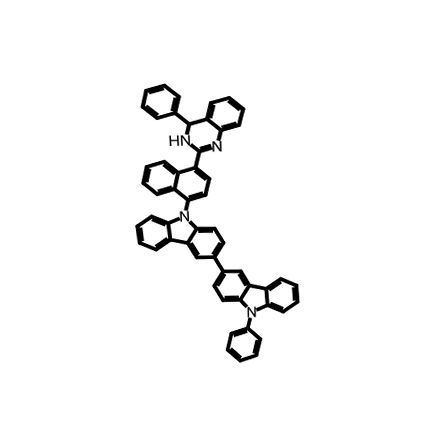 c1ccc(C2NC(c3ccc(-n4c5ccccc5c5cc(-c6ccc7c(c6)c6ccccc6n7-c6ccccc6)ccc54)c4ccccc34)=Nc3ccccc32)cc1